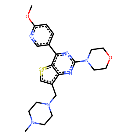 COc1ccc(-c2nc(N3CCOCC3)nc3c(CN4CCN(C)CC4)csc23)cn1